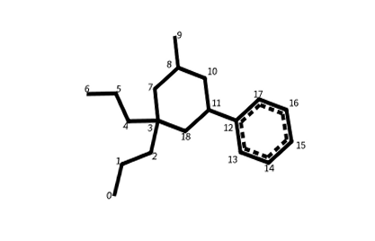 CCCC1(CCC)CC(C)CC(c2ccccc2)C1